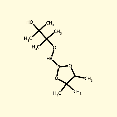 CC1OB(BOC(C)(C)C(C)(C)O)OC1(C)C